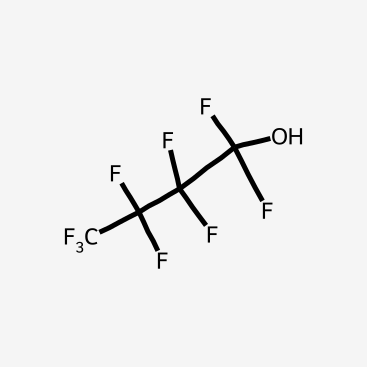 OC(F)(F)C(F)(F)C(F)(F)C(F)(F)F